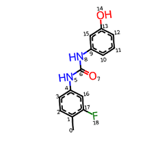 Cc1ccc(NC(=O)Nc2cccc(O)c2)cc1F